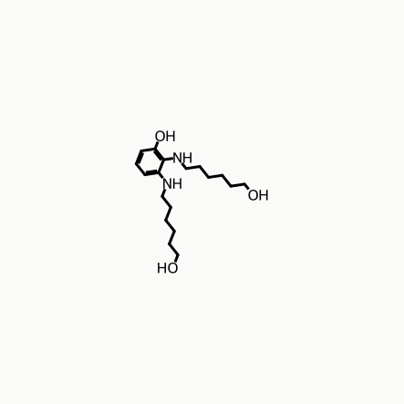 OCCCCCCNc1cccc(O)c1NCCCCCCO